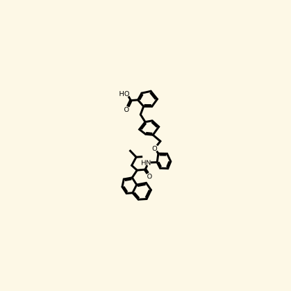 CC(C)CC(C(=O)Nc1ccccc1OCc1ccc(Cc2ccccc2C(=O)O)cc1)c1cccc2ccccc12